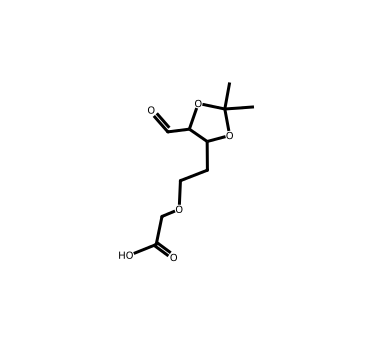 CC1(C)OC(C=O)C(CCOCC(=O)O)O1